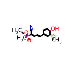 CCOP(C)(=O)/C(C#N)=C/C=C/c1ccc(O)c(OC)c1